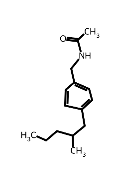 CCCC(C)Cc1ccc(CNC(C)=O)cc1